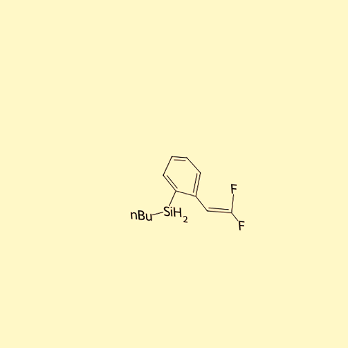 CCCC[SiH2]c1ccccc1C=C(F)F